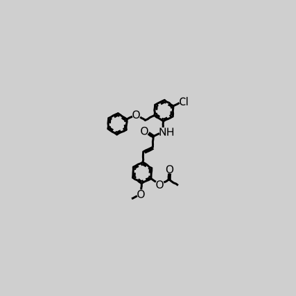 COc1ccc(C=CC(=O)Nc2cc(Cl)ccc2COc2ccccc2)cc1OC(C)=O